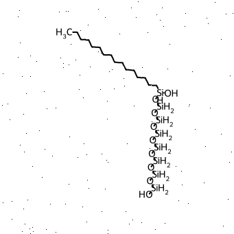 CCCCCCCCCCCCCCCC[SiH](O)O[SiH2]O[SiH2]O[SiH2]O[SiH2]O[SiH2]O[SiH2]O[SiH2]O